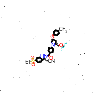 CCS(=O)(=O)c1ccc([C@@H](CC#N)NC(=O)c2ccc(N3C[C@@H](Oc4ccc(C(F)(F)F)cc4)C[C@H]3COC(F)F)cc2)cc1